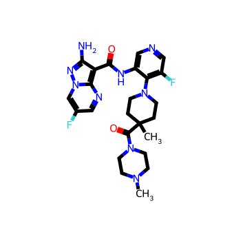 CN1CCN(C(=O)C2(C)CCN(c3c(F)cncc3NC(=O)c3c(N)nn4cc(F)cnc34)CC2)CC1